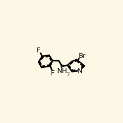 N[C@@H](Cc1cc(F)ccc1F)c1cncc(Br)c1